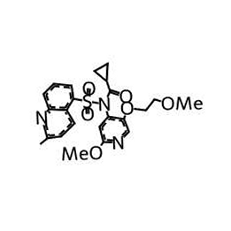 COCCOc1cnc(OC)cc1N(C(=O)C1CC1)S(=O)(=O)c1cccc2nc(C)ccc12